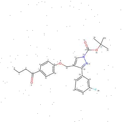 CCCC(=O)c1ccc(OCc2cn(C(=O)OC(C)(C)C)nc2-c2cccc(F)c2)cc1